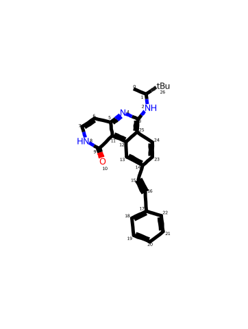 CC(Nc1nc2cc[nH]c(=O)c2c2cc(C#Cc3ccccc3)ccc12)C(C)(C)C